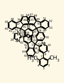 Cc1cccc(C)c1-c1ccnc(C2(c3cccc(C4(c5cccc(C6(n7ccnc7)c7ccccc7-c7ccccc76)c5)c5ccccc5-c5ccccc54)c3)c3ccccc3-c3ccccc32)c1